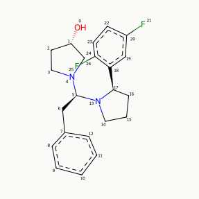 O[C@H]1CCN([C@H]([CH]c2ccccc2)N2CCC[C@@H]2c2cc(F)ccc2F)C1